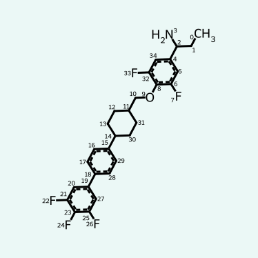 CCC(N)c1cc(F)c(OCC2CCC(c3ccc(-c4cc(F)c(F)c(F)c4)cc3)CC2)c(F)c1